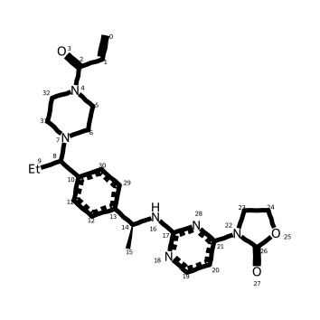 C=CC(=O)N1CCN(C(CC)c2ccc([C@H](C)Nc3nccc(N4CCOC4=O)n3)cc2)CC1